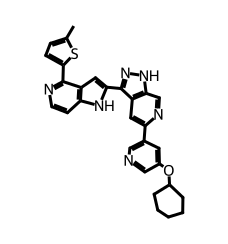 Cc1ccc(-c2nccc3[nH]c(-c4n[nH]c5cnc(-c6cncc(OC7CCCCC7)c6)cc45)cc23)s1